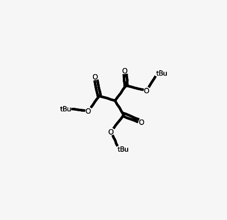 CC(C)(C)OC(=O)[C](C(=O)OC(C)(C)C)C(=O)OC(C)(C)C